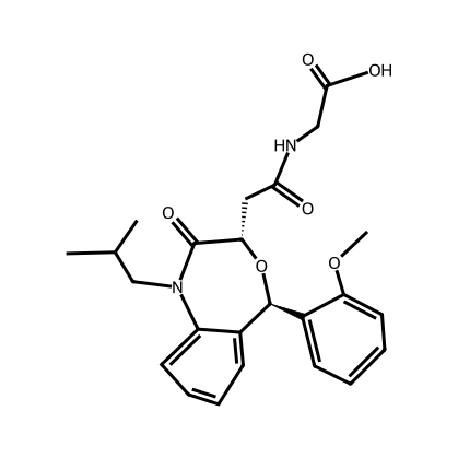 COc1ccccc1[C@@H]1O[C@@H](CC(=O)NCC(=O)O)C(=O)N(CC(C)C)c2ccccc21